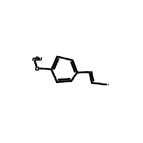 [CH2]C=Cc1ccc(OCCCC)cc1